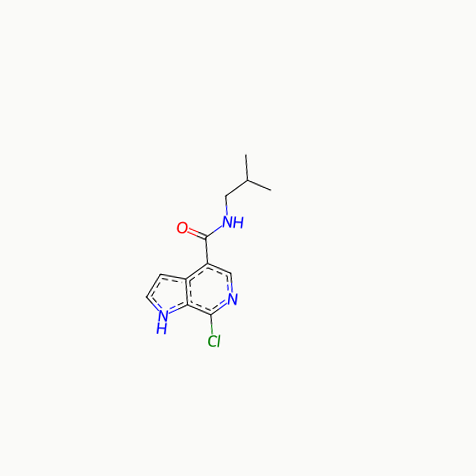 CC(C)CNC(=O)c1cnc(Cl)c2[nH]ccc12